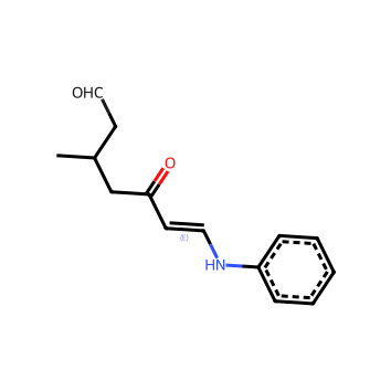 CC(CC=O)CC(=O)/C=C/Nc1ccccc1